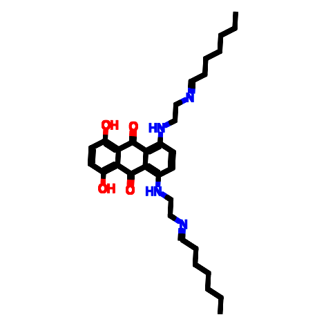 CCCCCCC=NCCNc1ccc(NCCN=CCCCCCC)c2c1C(=O)c1c(O)ccc(O)c1C2=O